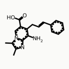 Cc1nc2c(N)c(C/C=C/c3ccccc3)c(C(=O)O)cn2c1C